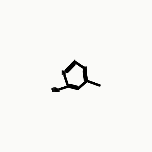 Cc1cc(C(C)(C)C)n[c]n1